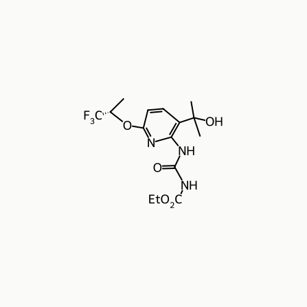 CCOC(=O)NC(=O)Nc1nc(O[C@@H](C)C(F)(F)F)ccc1C(C)(C)O